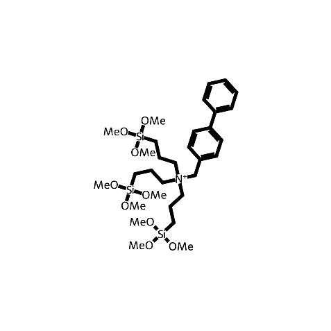 CO[Si](CCC[N+](CCC[Si](OC)(OC)OC)(CCC[Si](OC)(OC)OC)Cc1ccc(-c2ccccc2)cc1)(OC)OC